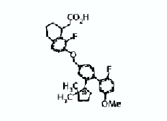 COc1ccc(F)c(-c2ccc(COc3ccc4c(c3F)C(CC(=O)O)CCC4)cc2[C@H]2CCCC2(C)C)c1